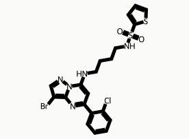 O=S(=O)(NCCCCNc1cc(-c2ccccc2Cl)nc2c(Br)cnn12)c1cccs1